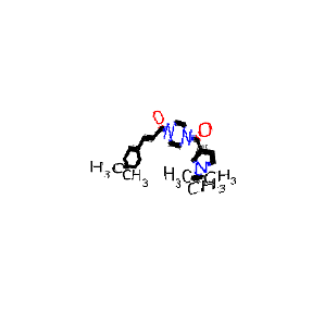 CC1(C)CCC(CCC(=O)N2CCN(C(=O)[C@H]3CCN(C(C)(C)C)C3)CC2)CC1